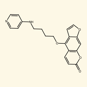 O=c1ccc2c(OCCCCNc3ccncc3)c3ccoc3cc2o1